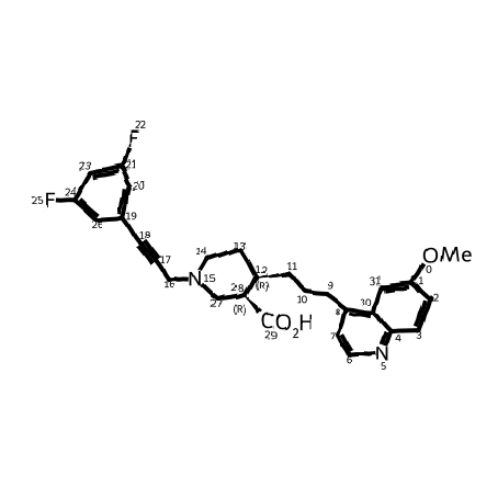 COc1ccc2nccc(CCC[C@@H]3CCN(CC#Cc4cc(F)cc(F)c4)C[C@@H]3C(=O)O)c2c1